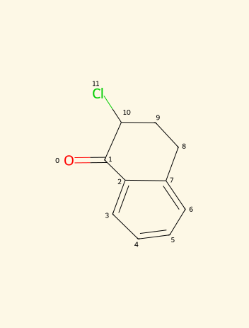 O=C1c2ccccc2CCC1Cl